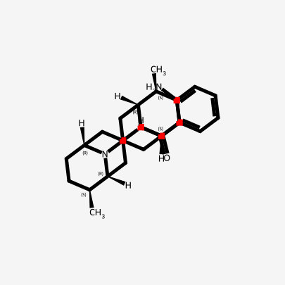 C[C@H]1CC[C@@H]2CC(N3[C@@H]4CC[C@H](C)[C@H]3CC(NC(=O)c3ccccc3N)C4)C[C@H]1C2